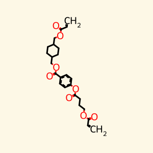 C=CC(=O)OCCCC(=O)Oc1ccc(C(=O)OCC2CCC(COC(=O)C=C)CC2)cc1